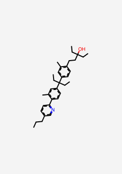 CCCc1ccc(-c2ccc(C(CC)(CC)c3ccc(CCC(O)(CC)CC)c(C)c3)cc2C)nc1